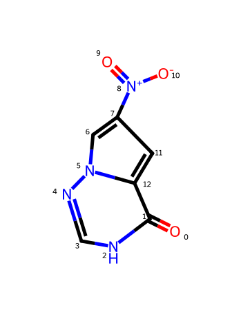 O=c1[nH]cnn2cc([N+](=O)[O-])cc12